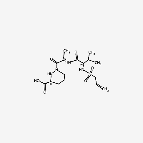 C=CCS(=O)(=O)N[C@H](C(=O)N[C@@H](C)C(=O)N1CCC[C@@H](C(=O)O)N1)C(C)C